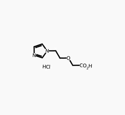 Cl.O=C(O)COCCn1ccnc1